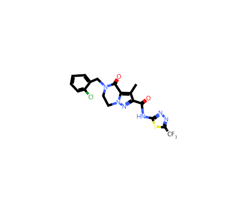 Cc1c(C(=O)Nc2nnc(C(F)(F)F)s2)nn2c1C(=O)N(Cc1ccccc1Cl)CC2